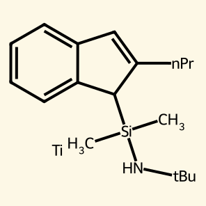 CCCC1=Cc2ccccc2C1[Si](C)(C)NC(C)(C)C.[Ti]